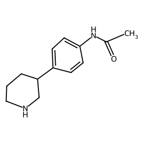 CC(=O)Nc1ccc(C2CCCNC2)cc1